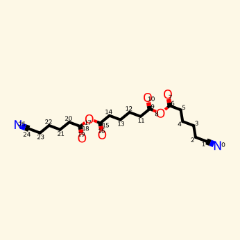 N#CCCCCC(=O)OC(=O)CCCCC(=O)OC(=O)CCCCC#N